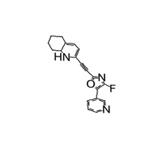 Fc1nc(C#CC2=CC=C3CCCCC3N2)oc1-c1cccnc1